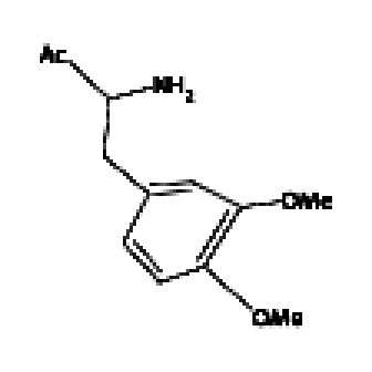 COc1ccc(CC(N)C(C)=O)cc1OC